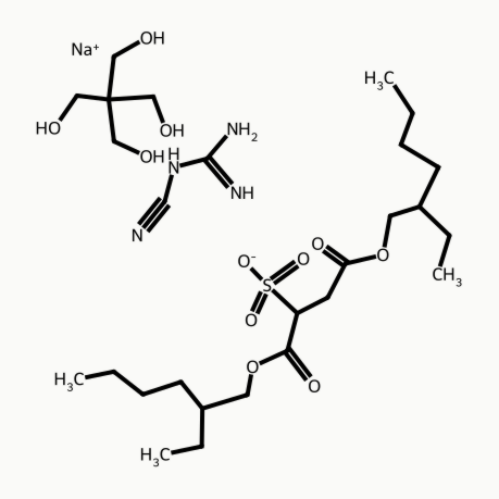 CCCCC(CC)COC(=O)CC(C(=O)OCC(CC)CCCC)S(=O)(=O)[O-].N#CNC(=N)N.OCC(CO)(CO)CO.[Na+]